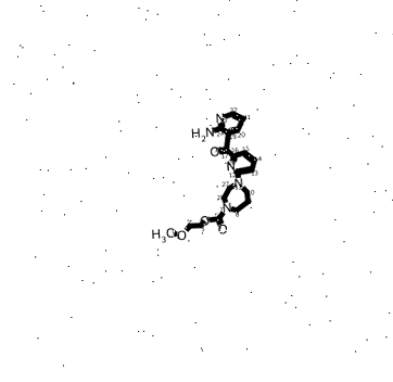 COCCOC(=O)N1CCCN(c2cccc(C(=O)c3cccnc3N)n2)CC1